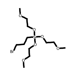 COCCO[Si](CCCBr)(OCCOC)OCCOC